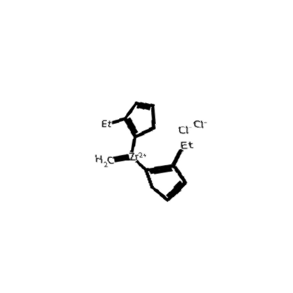 [CH2]=[Zr+2]([C]1=C(CC)C=CC1)[C]1=C(CC)C=CC1.[Cl-].[Cl-]